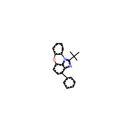 CC(C)(C)c1nc2c(-c3ccccc3)ccc3c2n1-c1ccccc1O3